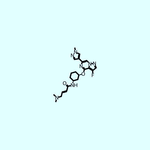 CN(C)C/C=C/C(=O)N[C@H]1CCC[C@@H](Oc2nc(-c3cnn(C)c3)cn3ncc(F)c23)C1